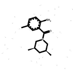 Cc1ccc(N)c(C(=O)N2C[C@H](C)C[C@H](C)C2)c1